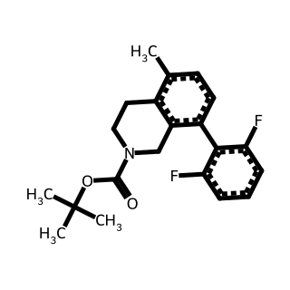 Cc1ccc(-c2c(F)cccc2F)c2c1CCN(C(=O)OC(C)(C)C)C2